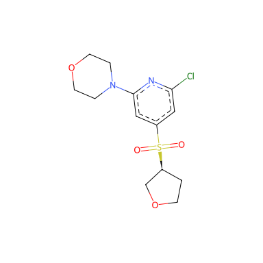 O=S(=O)(c1cc(Cl)nc(N2CCOCC2)c1)[C@H]1CCOC1